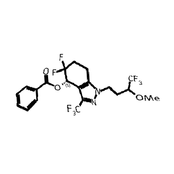 COC(CCn1nc(C(F)(F)F)c2c1CCC(F)(F)[C@H]2OC(=O)c1ccccc1)C(F)(F)F